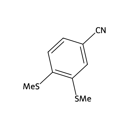 CSc1ccc(C#N)cc1SC